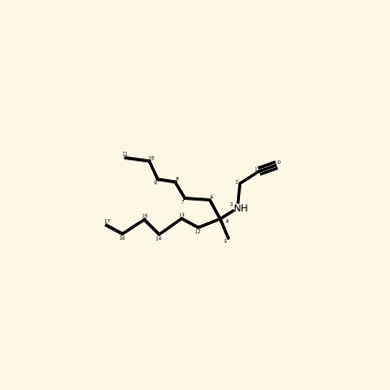 C#CCNC(C)(CCCCCC)CCCCCC